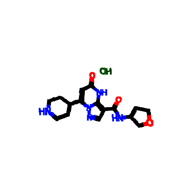 Cl.O=C(NC1CCOC1)c1cnn2c(C3CCNCC3)cc(=O)[nH]c12